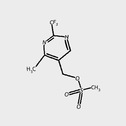 Cc1nc(C(F)(F)F)ncc1COS(C)(=O)=O